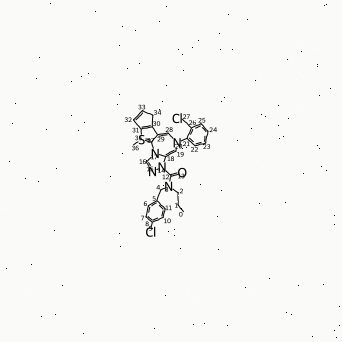 CCCN(Cc1ccc(Cl)cc1)C(=O)N1N=CN2C1=CN(c1ccccc1Cl)C=C1C3=C(C=CC3)S(C)=C12